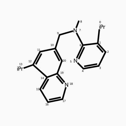 CC(C)c1cccnc1N(C)Cc1cc(C(C)C)c2cccnc2c1